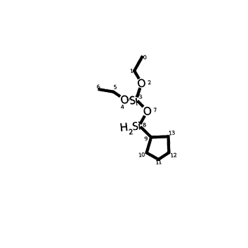 CCO[Si](OCC)O[SiH2]C1CCCC1